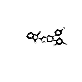 C[C@H](CN1CCN(c2ccc(Cl)cc2Cl)[C@H](c2ccc(Cl)cc2)C1)N1C(=O)c2ccccc2C1=O